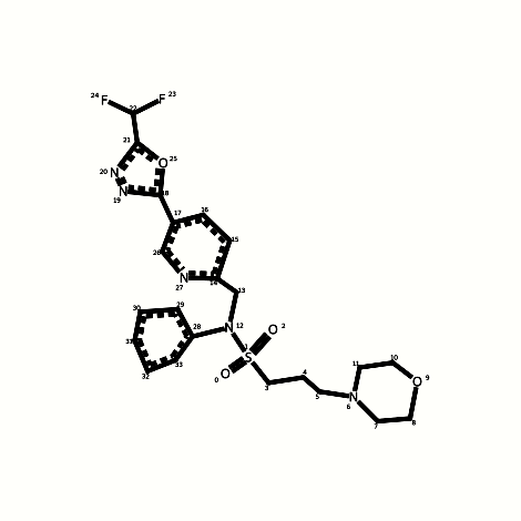 O=S(=O)(CCCN1CCOCC1)N(Cc1ccc(-c2nnc(C(F)F)o2)cn1)c1ccccc1